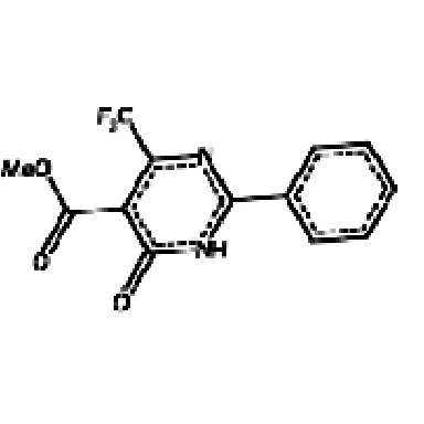 COC(=O)c1c(C(F)(F)F)nc(-c2ccccc2)[nH]c1=O